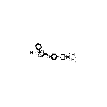 C=C(C)N1CCN(c2ccc(OCC3COC(C)(C4CCCCC4)O3)cc2)CC1